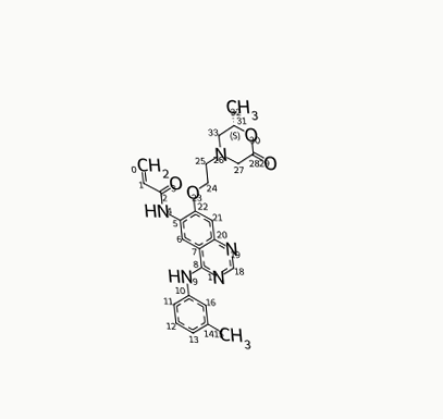 C=CC(=O)Nc1cc2c(Nc3cccc(C)c3)ncnc2cc1OCCN1CC(=O)O[C@@H](C)C1